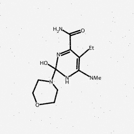 CCC1=C(NC)NC(O)(N2CCOCC2)N=C1C(N)=O